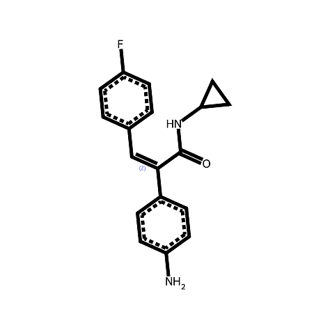 Nc1ccc(/C(=C/c2ccc(F)cc2)C(=O)NC2CC2)cc1